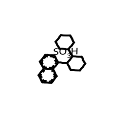 O=S(=O)(O)c1ccc2ccccc2c1C1CCCCC1C1CCCCC1